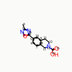 Cc1noc(-c2ccc3c(c2)CCN(C(=O)O)C3)n1